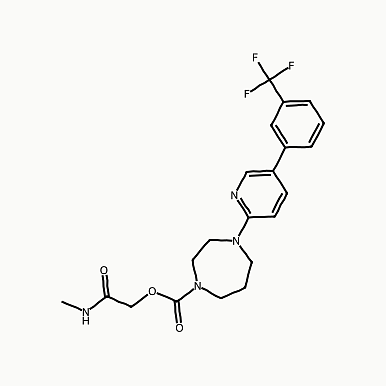 CNC(=O)COC(=O)N1CCCN(c2ccc(-c3cccc(C(F)(F)F)c3)cn2)CC1